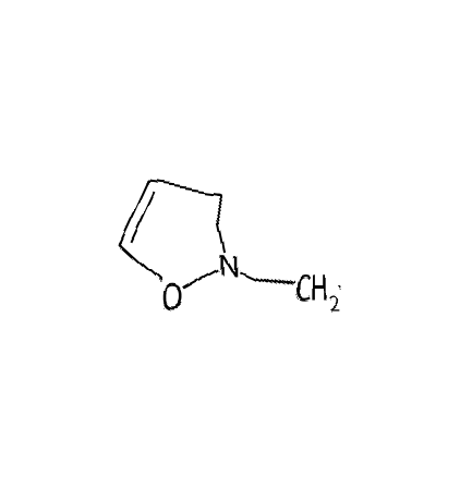 [CH2]N1CC=CO1